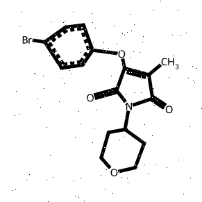 CC1=C(Oc2ccc(Br)cc2)C(=O)N(C2CCOCC2)C1=O